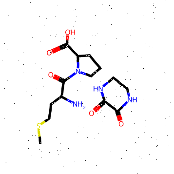 CSCCC(N)C(=O)N1CCCC1C(=O)O.O=C1NCCNC1=O